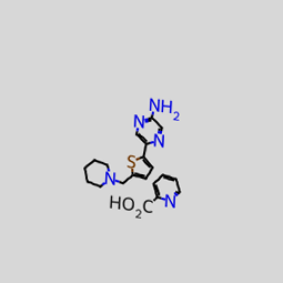 Nc1cnc(-c2ccc(CN3CCCCC3)s2)cn1.O=C(O)c1ccccn1